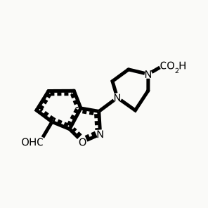 O=Cc1cccc2c(N3CCN(C(=O)O)CC3)noc12